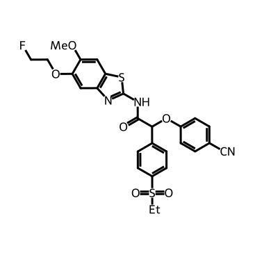 CCS(=O)(=O)c1ccc(C(Oc2ccc(C#N)cc2)C(=O)Nc2nc3cc(OCCF)c(OC)cc3s2)cc1